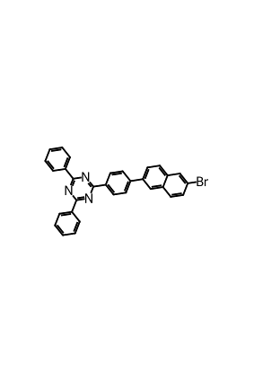 Brc1ccc2cc(-c3ccc(-c4nc(-c5ccccc5)nc(-c5ccccc5)n4)cc3)ccc2c1